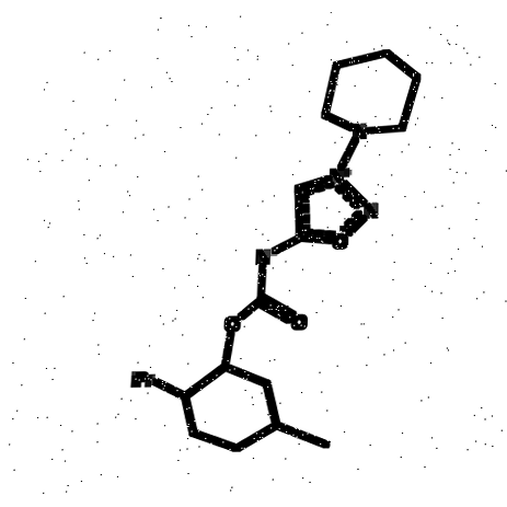 CC1CCC(C(C)C)C(OC(=O)[N-]c2c[n+](N3CCCCC3)no2)C1